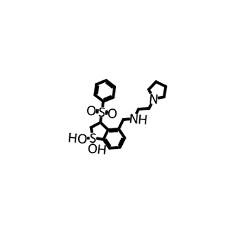 O=S(=O)(c1ccccc1)C1CS(O)(O)c2cccc(CNCCN3CCCC3)c21